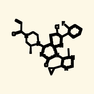 C=CC(=O)N1CCN(c2nc(=O)n(-c3c(C)ncnc3C3CC3)c3nc(-c4ccccc4F)c(Cl)cc23)[C@@H](C)C1